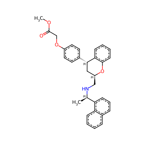 COC(=O)COc1ccc([C@H]2C[C@H](CN[C@H](C)c3cccc4ccccc34)Oc3ccccc32)cc1